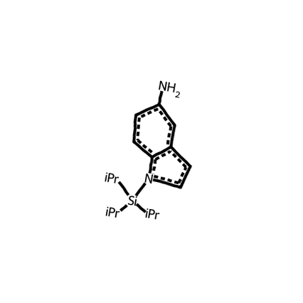 CC(C)[Si](C(C)C)(C(C)C)n1ccc2cc(N)ccc21